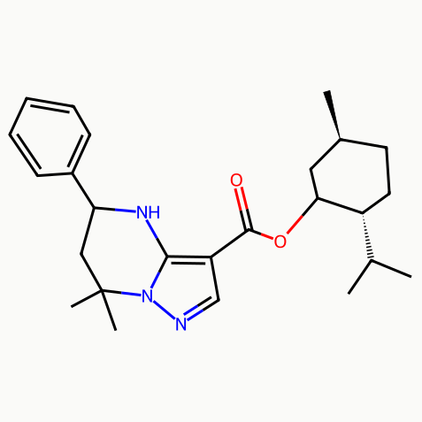 CC(C)[C@H]1CC[C@H](C)CC1OC(=O)c1cnn2c1NC(c1ccccc1)CC2(C)C